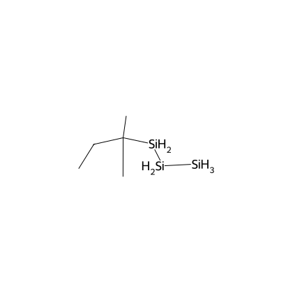 CCC(C)(C)[SiH2][SiH2][SiH3]